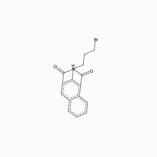 O=C1NC(=O)c2c(CCCCBr)c1cc1ccccc21